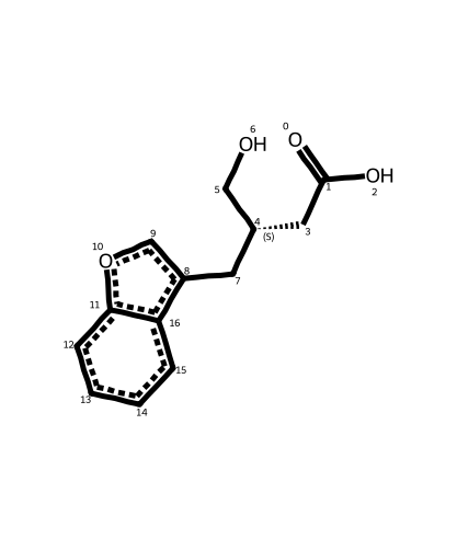 O=C(O)C[C@@H](CO)Cc1coc2ccccc12